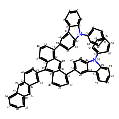 c1ccc(-n2c3ccccc3c3cc(-c4cccc5c(-c6ccc7cc8ccccc8cc7c6)c6cccc(-c7ccc8c(c7)c7ccccc7n8-c7ccccc7)c6cc45)ccc32)cc1